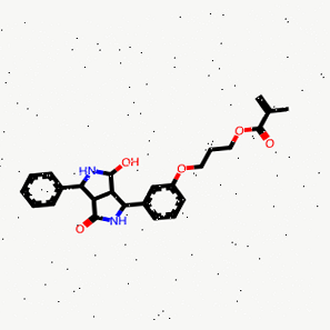 C=C(C)C(=O)OCCCOc1cccc(C2NC(=O)C3C(c4ccccc4)NC(O)C23)c1